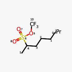 CC(C)CCCC(C)S(=O)(=O)OC(F)(F)F